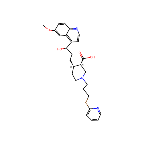 COc1ccc2nccc(C(O)CC[C@@H]3CCN(CCCSc4ccccn4)C[C@@H]3C(=O)O)c2c1